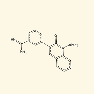 [CH2]CCCCn1c(=O)c(-c2cccc(C(=N)N)c2)cc2ccccc21